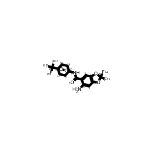 Nc1cc2c(cc1C(=O)NC13CCC(C(F)(F)F)(CC1)OC3)OC(F)(F)O2